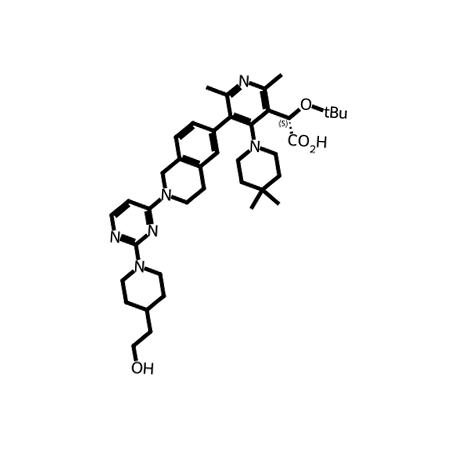 Cc1nc(C)c([C@H](OC(C)(C)C)C(=O)O)c(N2CCC(C)(C)CC2)c1-c1ccc2c(c1)CCN(c1ccnc(N3CCC(CCO)CC3)n1)C2